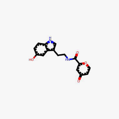 O=C(NCCc1c[nH]c2ccc(O)cc12)c1cc(=O)cco1